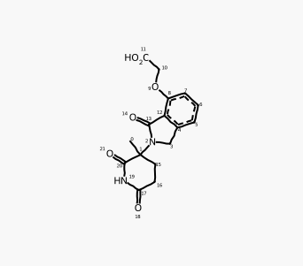 CC1(N2Cc3cccc(OCC(=O)O)c3C2=O)CCC(=O)NC1=O